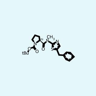 CN(C(=O)[C@@H]1CCCN1C(=O)OC(C)(C)C)c1ncc(Cc2ccccc2)s1